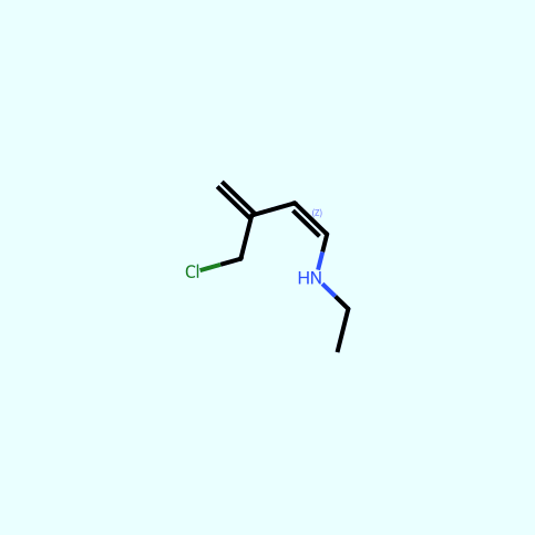 C=C(/C=C\NCC)CCl